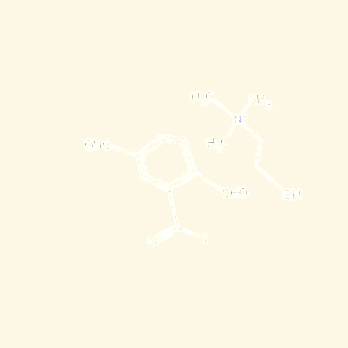 C[N+](C)(C)CCO.O=Cc1ccc(C=O)c(C(=O)I)c1